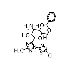 Cc1nc([C@@H]2O[C@@H]3COC(c4ccccc4)O[C@@H]3[C@H](N)[C@H]2O)n(-c2ncc(Cl)s2)n1